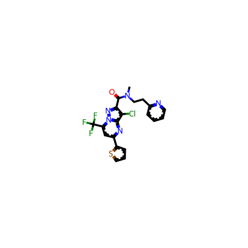 CN(CCc1ccccn1)C(=O)c1nn2c(C(F)(F)F)cc(-c3cccs3)nc2c1Cl